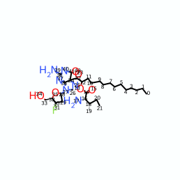 CCCCCCCCCCCCC(OC(=O)[C@@H](N)[C@@H](C)CC)C(=O)C12N=CN([C@H]3CC(F)[C@@H](CO)O3)C1=NC(N)=NC2=O